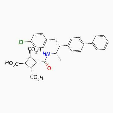 C[C@H](NC(=O)[C@H]1[C@H](C(=O)O)[C@H](C(=O)O)[C@H]1C(=O)O)[C@H](Cc1ccc(Cl)cc1)c1ccc(-c2ccccc2)cc1